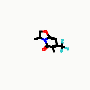 Cc1c(C(F)(F)F)cc2n(c1=O)C(C)CO2